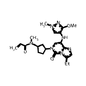 C=CC(=O)N(C)C1CCC(n2cc(Nc3cn(C)nc3OC)c3ncc(CC)n3c2=O)C1